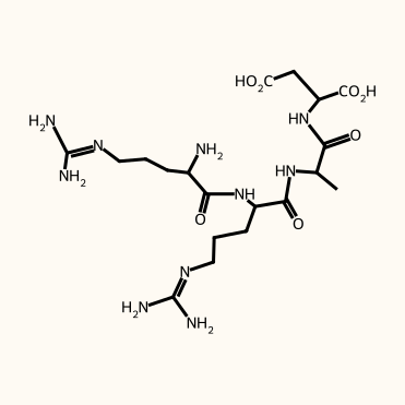 CC(NC(=O)C(CCCN=C(N)N)NC(=O)C(N)CCCN=C(N)N)C(=O)NC(CC(=O)O)C(=O)O